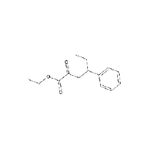 CCOC(=O)C(=O)CC(CC)c1ccccc1